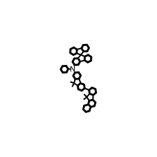 CC1(C)c2ccc(-c3cccc4c3C(C)(C)c3c-4ccc4ccccc34)cc2-c2ccc(N(c3ccccc3)c3ccc4c(c3)-c3ccccc3C43c4ccccc4-c4ccccc43)cc21